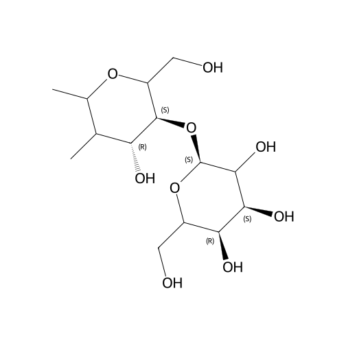 CC1OC(CO)[C@@H](O[C@@H]2OC(CO)[C@H](O)[C@H](O)C2O)[C@H](O)C1C